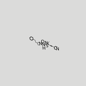 Cc1nc(NC(=O)N2CCC(CCc3ccccc3)C2)sc1C#Cc1ccncc1